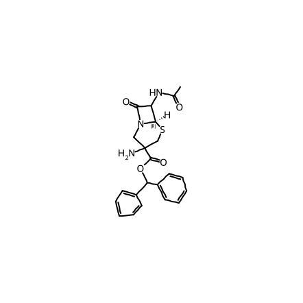 CC(=O)NC1C(=O)N2CC(N)(C(=O)OC(c3ccccc3)c3ccccc3)CS[C@H]12